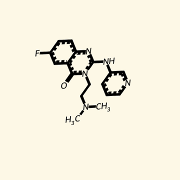 CN(C)CCn1c(Nc2cccnc2)nc2ccc(F)cc2c1=O